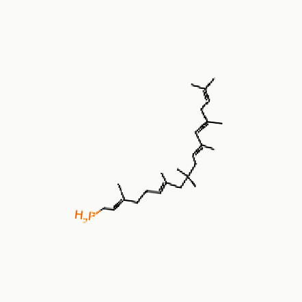 CC(C)=CC/C(C)=C/C(C)=C/CC(C)(C)C/C(C)=C/CC/C(C)=C/CP